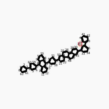 c1ccc(-c2ccc(-c3c4ccccc4c(-c4ccc(-c5ccc6c(ccc7c8ccc(-c9cccc%10c9oc9ccccc9%10)cc8ccc67)c5)cc4)c4ccccc34)cc2)cc1